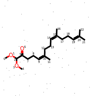 COC(OC)C(=O)CCC=C(C)CCC=C(C)CCC=C(C)C